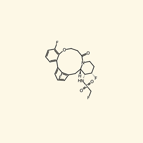 O=C1CCOc2c(F)cccc2-c2cccc(c2F)C[C@H]2[C@@H](NS(=O)(=O)CF)[C@@H](F)CCN12